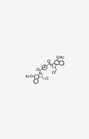 CC(=O)Oc1cc2c(c3ccccc13)C(CCl)CN2C(=O)C12CCC(C(=O)N3CC(CCl)c4c3cc(OC(C)=O)c3ccccc43)(CC1)CC2